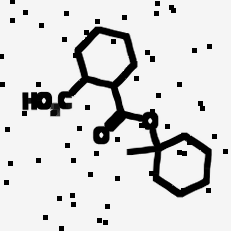 CC1(OC(=O)C2CCCCC2C(=O)O)CCCCC1